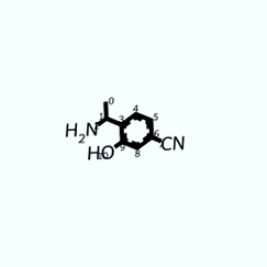 CC(N)c1ccc(C#N)cc1O